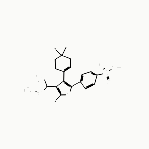 CCOC(=O)C(OC(C)(C)C)c1c(C)sc(-c2ccc(S(N)(=O)=O)cc2)c1C1=CCC(C)(C)CC1